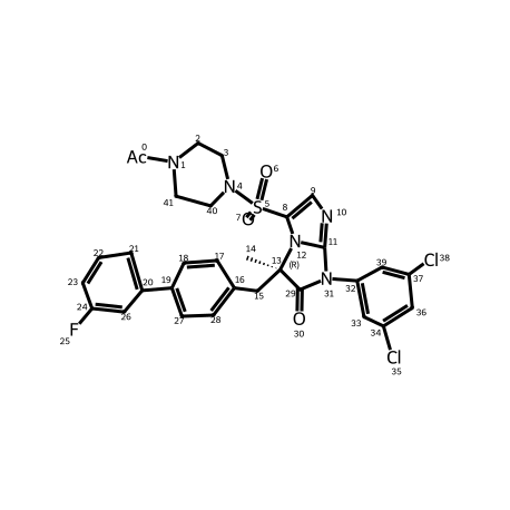 CC(=O)N1CCN(S(=O)(=O)c2cnc3n2[C@](C)(Cc2ccc(-c4cccc(F)c4)cc2)C(=O)N3c2cc(Cl)cc(Cl)c2)CC1